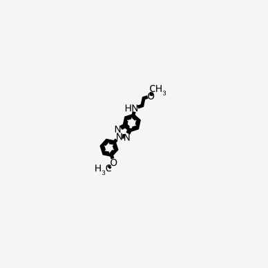 COCCNc1ccc2nn(-c3cccc(OC)c3)nc2c1